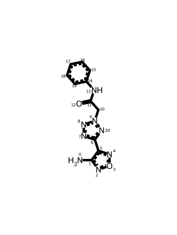 Nc1nonc1-c1nnn(CC(=O)Nc2ccccc2)n1